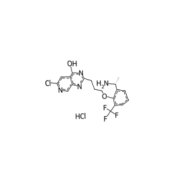 C[C@@H](N)c1cccc(C(F)(F)F)c1OCCCc1nc(O)c2cc(Cl)ncc2n1.Cl